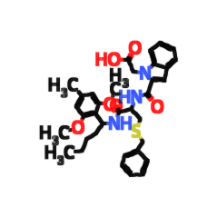 CCCCC(NC(=O)C(CSCc1ccccc1)NC(=O)c1cc2ccccc2n1CC(=O)O)c1c(OC)cc(C)cc1OC